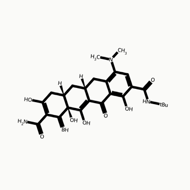 B=C1C(C(N)=O)=C(O)C[C@@H]2C[C@@H]3Cc4c(N(C)C)cc(C(=O)NC(C)(C)C)c(O)c4C(=O)C3=C(O)[C@]12O